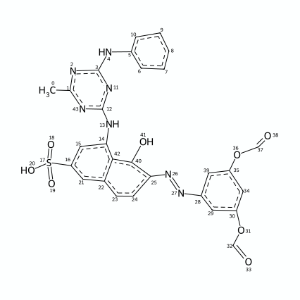 Cc1nc(Nc2ccccc2)nc(Nc2cc(S(=O)(=O)O)cc3ccc(N=Nc4cc(OC=O)cc(OC=O)c4)c(O)c23)n1